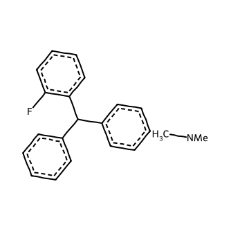 CNC.Fc1ccccc1C(c1ccccc1)c1ccccc1